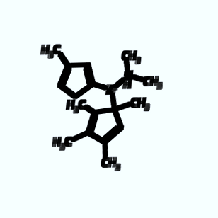 CC1=CC[C]([Zr]([SiH](C)C)[C]2(C)C=C(C)C(C)=C2C)=C1